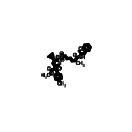 CNC(=O)c1c(-c2ccc(C)cc2)oc2nc(NS(=O)(=O)CCCC[C@@H](C)C(=O)N[C@@H](CO)Cc3ccccc3)c(C3CC3)cc12